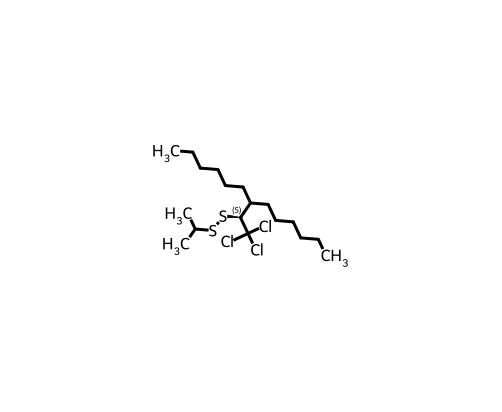 CCCCCCC(CCCCCC)[C@H](SSC(C)C)C(Cl)(Cl)Cl